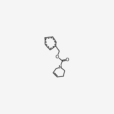 O=C(OCc1ccccc1)N1CC=CCC1